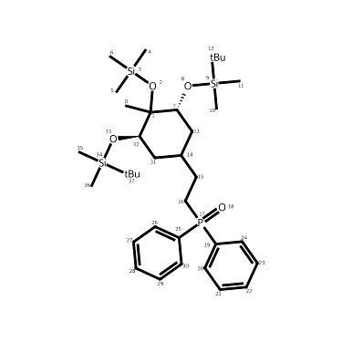 CC1(O[Si](C)(C)C)[C@H](O[Si](C)(C)C(C)(C)C)CC(CCP(=O)(c2ccccc2)c2ccccc2)C[C@H]1O[Si](C)(C)C(C)(C)C